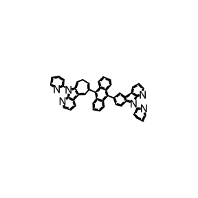 C1=C(c2c3ccccc3c(-c3ccc4c(c3)c3cccnc3n4-c3ccccn3)c3ccccc23)C=c2c(n(-c3ccccn3)c3ncccc23)=CC1